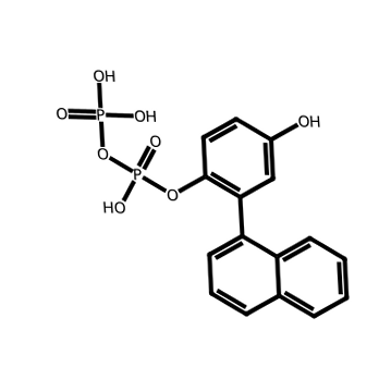 O=P(O)(O)OP(=O)(O)Oc1ccc(O)cc1-c1cccc2ccccc12